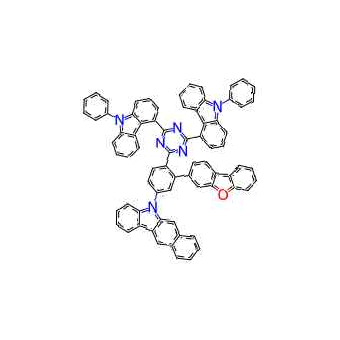 c1ccc(-n2c3ccccc3c3c(-c4nc(-c5ccc(-n6c7ccccc7c7cc8ccccc8cc76)cc5-c5ccc6c(c5)oc5ccccc56)nc(-c5cccc6c5c5ccccc5n6-c5ccccc5)n4)cccc32)cc1